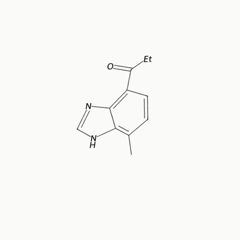 CCC(=O)c1ccc(C)c2[nH]cnc12